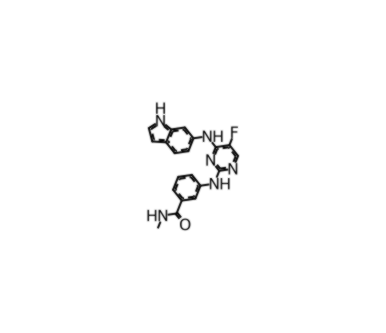 CNC(=O)c1cccc(Nc2ncc(F)c(Nc3ccc4cc[nH]c4c3)n2)c1